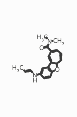 CC=CNc1ccc2c(c1)C1=CC(C(=O)N(C)C)=CC=CC1O2